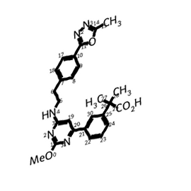 COc1nc(NCCc2ccc(-c3nnc(C)o3)cc2)cc(-c2cccc(C(C)(C)C(=O)O)c2)n1